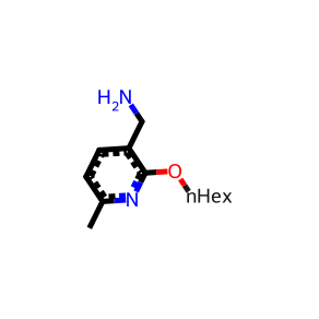 CCCCCCOc1nc(C)ccc1CN